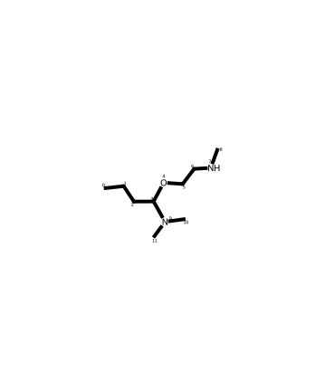 CCCC(OCCNC)N(C)C